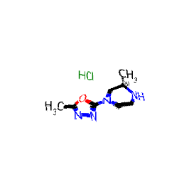 Cc1nnc(N2CCN[C@@H](C)C2)o1.Cl